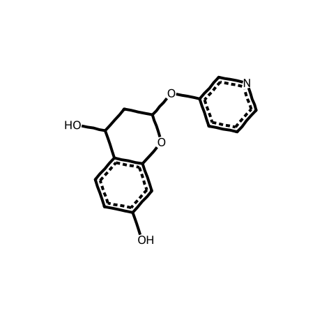 Oc1ccc2c(c1)OC(Oc1cccnc1)CC2O